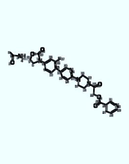 CC(=O)NC[C@H]1CN(c2ccc(-c3ccc(N4CCN(C(=O)COC(=O)c5cccnc5)CC4)nc3)c(F)c2)C(=O)O1